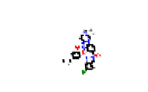 Cc1ccc(S(=O)(=O)Nc2cc(C(=O)NCc3ccc(F)cc3)ccc2N2CCCN(C)CC2)cc1